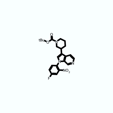 CC(C)(C)OC(=O)N1CCCC(c2cn(-c3ccc(F)cc3[N+](=O)[O-])c3cnccc23)C1